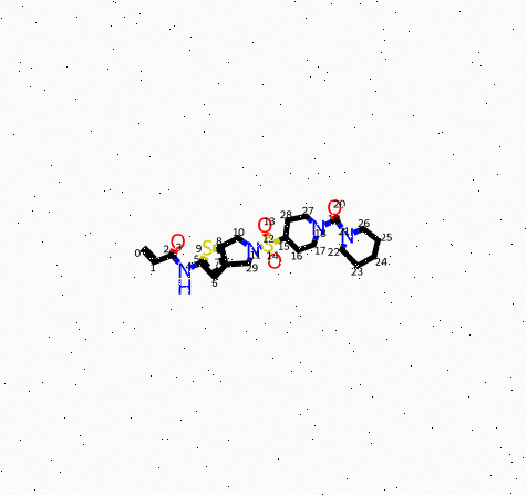 C=CC(=O)Nc1cc2c(s1)CN(S(=O)(=O)C1CCN(C(=O)N3CCCCC3)CC1)C2